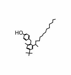 CCCCCCCCCCCCC(C)c1cc(C(C)(C)C)cc(C)c1Cc1ccc(O)cc1